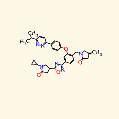 CC(C)c1ccc(-c2ccc(Oc3cc(-c4noc(C5CC(=O)N(C6CC6)C5)n4)ccc3CN3C[C@@H](C)CC3=O)cc2)nn1